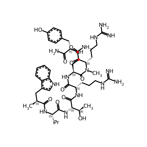 CC(C)[C@H](NC(=O)[C@@H](C)Cc1c[nH]c2ccccc12)C(=O)N[C@H](C(=O)N[C@@H](CCCNC(=N)N)C(=O)N[C@@H](CCC(N)=O)C(=O)N(C)[C@@H](CCCNC(=N)N)C(=O)N[C@@H](Cc1ccc(O)cc1)C(N)=O)[C@@H](C)O